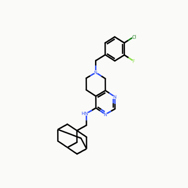 Fc1cc(CN2CCc3c(ncnc3NCC34CC5CC(CC(C5)C3)C4)C2)ccc1Cl